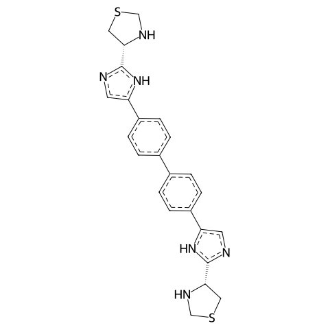 c1cc(-c2cnc([C@@H]3CSCN3)[nH]2)ccc1-c1ccc(-c2cnc([C@@H]3CSCN3)[nH]2)cc1